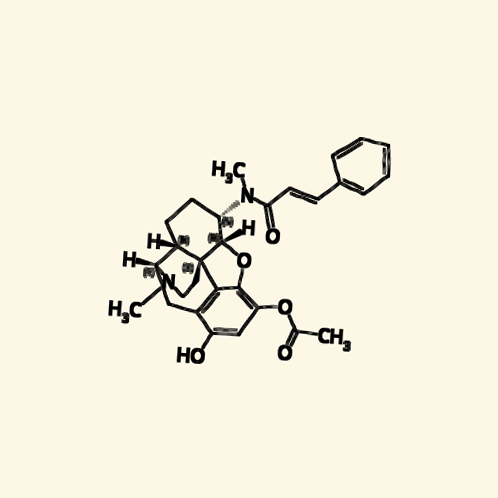 CC(=O)Oc1cc(O)c2c3c1O[C@H]1[C@@H](N(C)C(=O)C=Cc4ccccc4)CC[C@H]4[C@@H](C2)N(C)CC[C@@]341